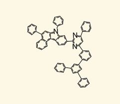 c1ccc(-c2cc(-c3ccccc3)cc(-c3cccc(-c4cc(-c5ccccc5)nc(-c5ccc6c7c8ccccc8c(-c8ccccc8)cc7n(-c7ccccc7)c6c5)n4)c3)c2)cc1